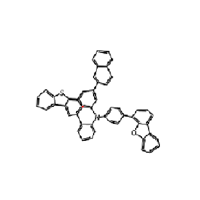 c1cc(-c2ccc3ccccc3c2)cc(N(c2ccc(-c3cccc4c3oc3ccccc34)cc2)c2ccccc2-c2ccc3sc4ccccc4c3c2)c1